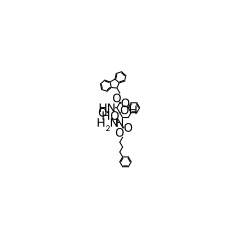 NN(C(=O)OCCCCc1ccccc1)C(Cc1ccccc1)C(O)(O)C(NC=O)C(=O)OCC1c2ccccc2-c2ccccc21